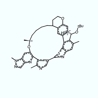 Cc1cc2nc3sc2c(c1C(OC(C)(C)C)C(=O)O)-c1ccc2c(c1)C(CCCC[C@H](C)Oc1cc4c(cnn4C)nc1-c1cc-3cnc1C)CCO2